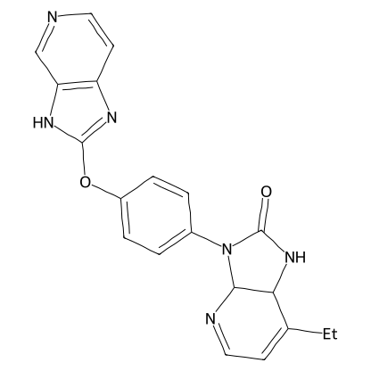 CCC1=CC=NC2C1NC(=O)N2c1ccc(Oc2nc3ccncc3[nH]2)cc1